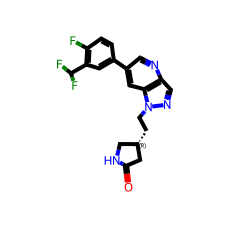 O=C1C[C@@H](CCn2ncc3ncc(-c4ccc(F)c(C(F)F)c4)cc32)CN1